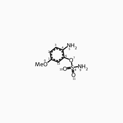 COc1ccc(N)c(OS(N)(=O)=O)c1